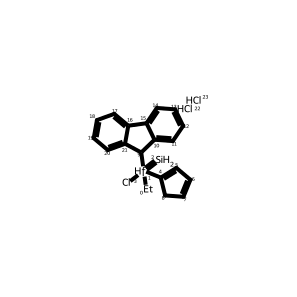 C[CH2][Hf](=[SiH2])([Cl])([C]1=CC=CC1)[CH]1c2ccccc2-c2ccccc21.Cl.Cl